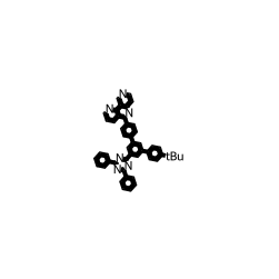 CC(C)(C)c1ccc(-c2cc(-c3ccc(-c4nc5ccncc5c5ncccc45)cc3)cc(-c3nc(-c4ccccc4)nc(-c4ccccc4)n3)c2)cc1